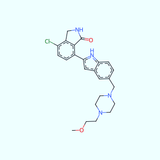 COCCN1CCN(Cc2ccc3[nH]c(-c4ccc(Cl)c5c4C(=O)NC5)cc3c2)CC1